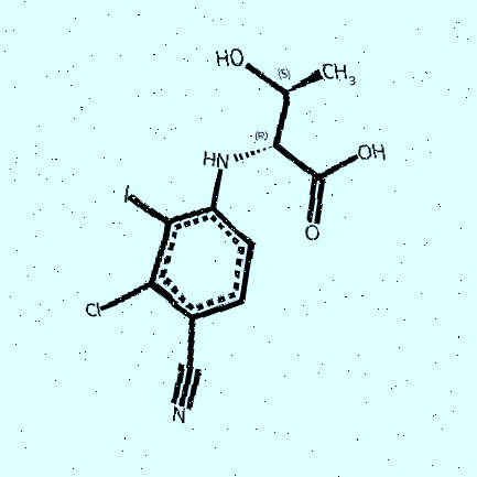 C[C@H](O)[C@@H](Nc1ccc(C#N)c(Cl)c1I)C(=O)O